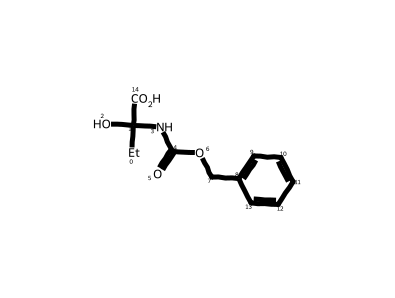 CCC(O)(NC(=O)OCc1ccccc1)C(=O)O